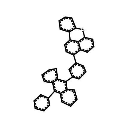 c1ccc(-c2c3ccccc3c(-c3cccc(-c4ccc5c6c(cccc46)Sc4ccccc4-5)c3)c3ccccc23)cc1